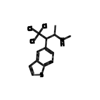 CNC(C)C(c1ccc2sccc2c1)C(Cl)(Cl)Cl